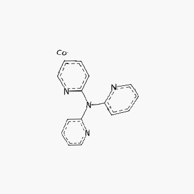 [Co].c1ccc(N(c2ccccn2)c2ccccn2)nc1